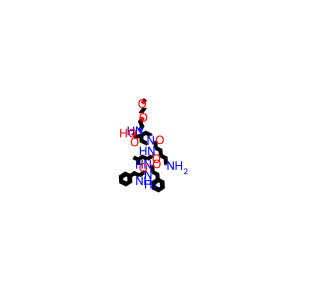 COCCOCCNC1(C(=O)O)CCN(C(=O)C(CCCCN)NC(=O)C(CC(C)C)NC(=O)C(Cc2ccccc2)NC(=O)C(N)Cc2ccccc2)CC1